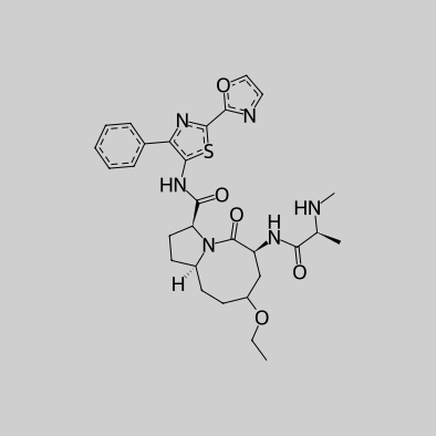 CCOC1CC[C@H]2CC[C@@H](C(=O)Nc3sc(-c4ncco4)nc3-c3ccccc3)N2C(=O)[C@@H](NC(=O)[C@H](C)NC)C1